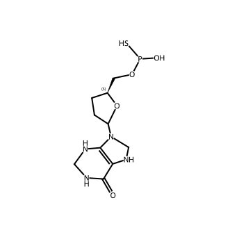 O=C1NCNC2=C1NCN2C1CC[C@@H](COP(O)S)O1